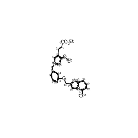 CCOC(=O)CCc1cn(Cc2ccnc(OCc3cn4c(Cl)cccc4n3)c2)nc1OCC